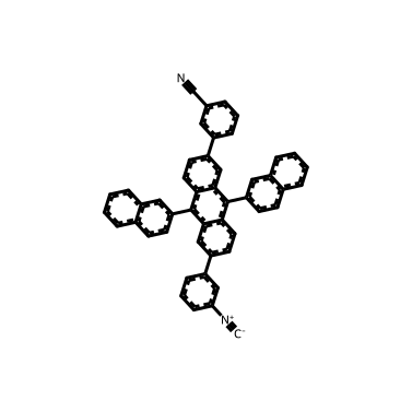 [C-]#[N+]c1cccc(-c2ccc3c(-c4ccc5ccccc5c4)c4cc(-c5cccc(C#N)c5)ccc4c(-c4ccc5ccccc5c4)c3c2)c1